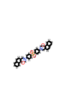 O=S(=O)(c1ccc(N2COc3c(ccc4ccccc34)C2)cc1)c1ccc(N2COc3c(ccc4ccccc34)C2)cc1